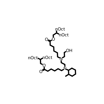 CCCCCCCCC(CCCCCCCC)COC(=O)CCCCCN(CCO)CCN(CCCCCC(=O)OCC(CCCCCCCC)CCCCCCCC)C1CCCCC1C